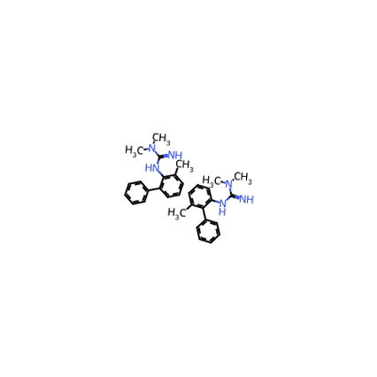 Cc1cccc(-c2ccccc2)c1NC(=N)N(C)C.Cc1cccc(NC(=N)N(C)C)c1-c1ccccc1